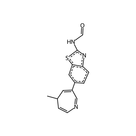 CC1C=CN=CC(c2ccc3nc(NC=O)sc3c2)=C1